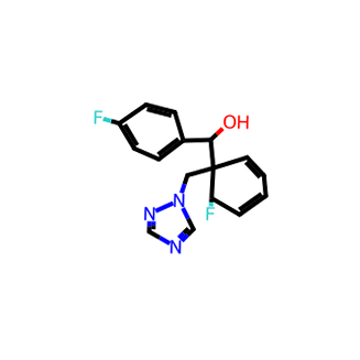 OC(c1ccc(F)cc1)C1(Cn2cncn2)C=CC=CC1F